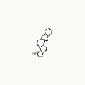 c1ccc2cc3c(ccc4c3ccc3cc[nH]c34)cc2c1